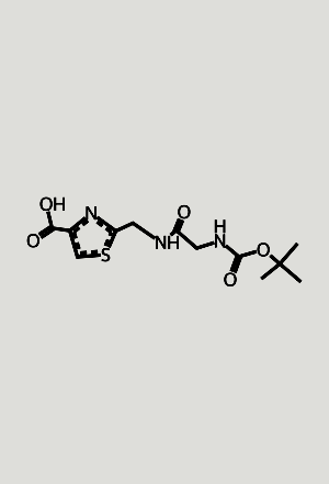 CC(C)(C)OC(=O)NCC(=O)NCc1nc(C(=O)O)cs1